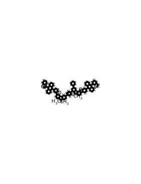 CC1(C)c2ccc(-c3ccc(-c4cc(-c5ccccc5)cc5c4C(C)(C)c4ccc6c(oc7cc(-c8c9ccccc9c(-c9cccc%10ccsc9%10)c9ccccc89)ccc76)c4-5)cc3)cc2-c2c1ccc1c2oc2ccc(-c3c4ccccc4c(-c4coc5ccccc45)c4ccccc34)cc21